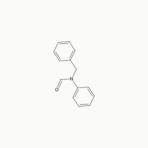 O=[C]N(Cc1ccccc1)c1ccccc1